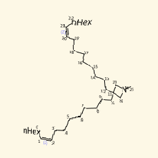 CCCCCC/C=C\CCCCCCCCC1(CCCCCCCC/C=C\CCCCCC)CN(C)C1